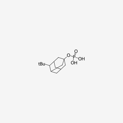 CC(C)(C)C1C2CC3CC1CC(OP(=O)(O)O)(C3)C2